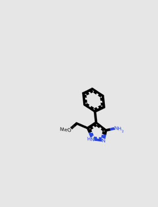 COCc1[nH]nc(N)c1-c1ccccc1